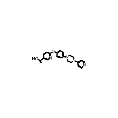 O=C(O)c1ccc(Oc2ccc(N3CCN(c4ccncc4)CC3)cc2)nc1